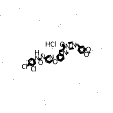 CN(C(=O)Nc1ccc(Cl)c(Cl)c1)c1ccc(Oc2ccc3c(c2)cc(C(=O)N2CCN(Cc4ccc5c(c4)OCO5)CC2)n3C)nc1.Cl